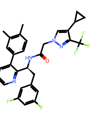 Cc1ccc(-c2cccnc2[C@H](Cc2cc(F)cc(F)c2)NC(=O)Cn2cc(C3CC3)c(C(F)(F)F)n2)cc1C